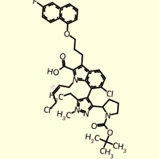 CCc1c(-c2c(Cl)ccc3c(CCCOc4cccc5cc(F)ccc45)c(C(=O)O)n(C/C=C\CCl)c23)c(C2CCCN2C(=O)OC(C)(C)C)nn1C